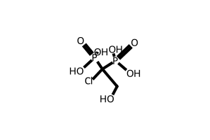 O=P(O)(O)C(Cl)(CO)P(=O)(O)O